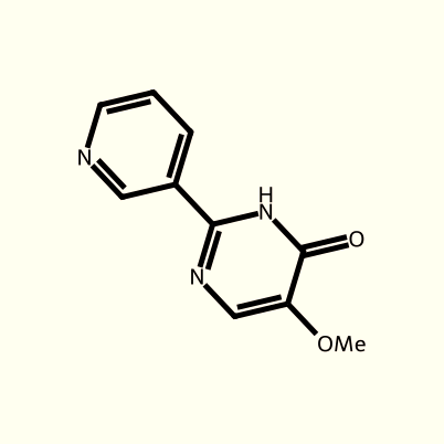 COc1cnc(-c2cccnc2)[nH]c1=O